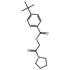 CC(C)(C)c1ccc(C(=O)OCC(=O)N2CCCC2)cc1